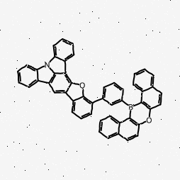 c1cc(B2c3c(ccc4ccccc34)Oc3ccc4ccccc4c32)cc(-c2cccc3c2oc2c3cc3c4ccccc4n4c5ccccc5c2c34)c1